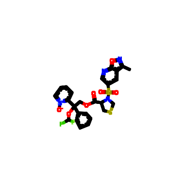 Cc1noc2ncc(S(=O)(=O)N3CSCC3C(=O)OCC(OC(F)F)(c3ccccc3)c3cccc[n+]3[O-])cc12